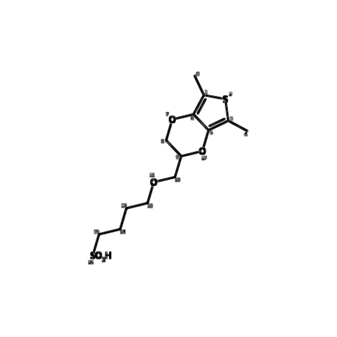 Cc1sc(C)c2c1OCC(COCCCCS(=O)(=O)O)O2